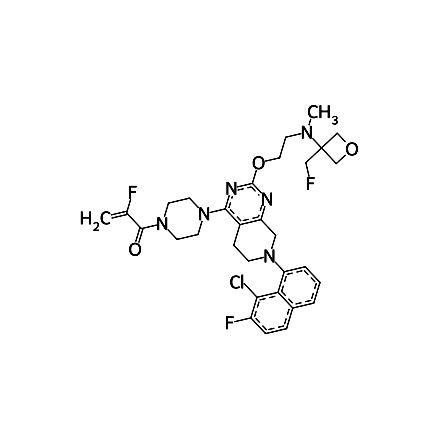 C=C(F)C(=O)N1CCN(c2nc(OCCN(C)C3(CF)COC3)nc3c2CCN(c2cccc4ccc(F)c(Cl)c24)C3)CC1